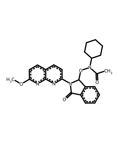 COc1ccc2ccc(N3C(=O)c4ccccc4C3ON(C(C)=O)C3CCCCC3)nc2n1